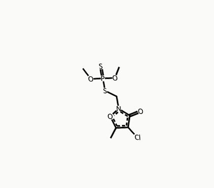 COP(=S)(OC)SCn1oc(C)c(Cl)c1=O